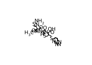 CON=C(C(=O)N[C@@H]1C(=O)N2C(C(=O)O)=C(CSc3ccc4nnnn4n3)CS[C@@H]12)c1csc(N)n1